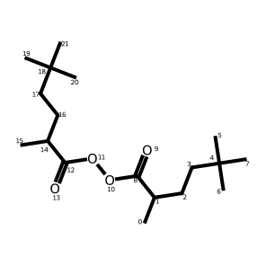 CC(CCC(C)(C)C)C(=O)OOC(=O)C(C)CCC(C)(C)C